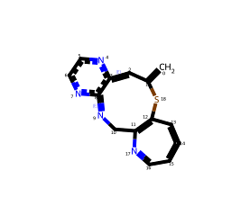 C=C1/C=c2/nccn/c2=N/CC2=C(C=C=CC=N2)S1